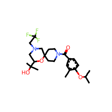 Cc1cc(C(=O)N2CCC3(CC2)CN(CC(F)(F)F)CC(C(C)(C)O)O3)ccc1OC(C)C